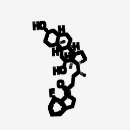 C[C@H](CCC(=O)N1CCc2cccc(F)c21)[C@H]1CC[C@H]2[C@@H]3CC[C@@H]4C[C@H](O)CC[C@]4(C)[C@H]3C[C@H](O)[C@]12C